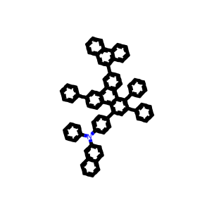 c1ccc(-c2ccc3c(c2)c2cc(-c4cc5ccccc5c5ccccc45)ccc2c2c(-c4ccccc4)c(-c4ccccc4)cc(-c4ccc(N(c5ccccc5)c5ccc6ccccc6c5)cc4)c32)cc1